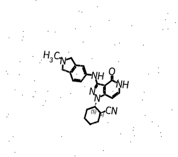 CN1Cc2ccc(Nc3nn([C@H]4CCCC[C@@H]4C#N)c4cc[nH]c(=O)c34)cc2C1